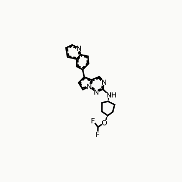 FC(F)O[C@H]1CC[C@@H](Nc2ncc3c(-c4ccc5ncccc5c4)ccn3n2)CC1